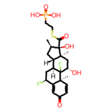 C[C@@H]1C[C@H]2[C@@H]3C[C@H](F)C4=CC(=O)C=C[C@]4(C)[C@@]3(F)[C@@H](O)C[C@]2(C)[C@@]1(O)C(=O)SCCP(=O)(O)O